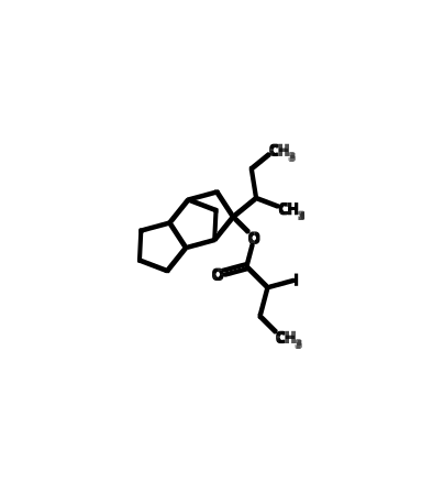 CCC(I)C(=O)OC1(C(C)CC)CC2CC1C1CCCC21